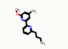 CCCCc1cccc(-c2cc(C)cc(OC)n2)n1